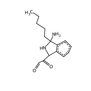 CCCCCC1(N)NC(C(=O)C=O)c2ccccc21